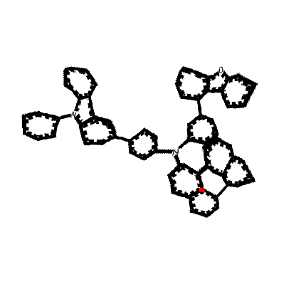 c1ccc(-c2cccc3cccc(-c4ccccc4N(c4ccc(-c5ccc6c(c5)c5ccccc5n6-c5ccccc5)cc4)c4cccc(-c5cccc6oc7ccccc7c56)c4)c23)cc1